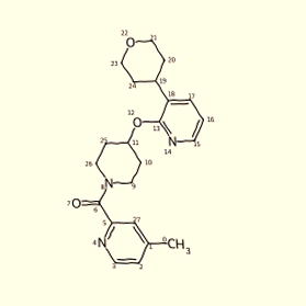 Cc1ccnc(C(=O)N2CCC(Oc3ncccc3C3CCOCC3)CC2)c1